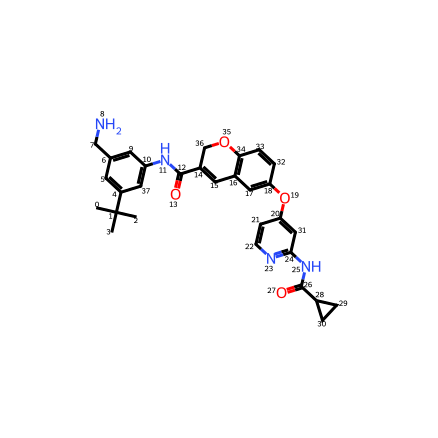 CC(C)(C)c1cc(CN)cc(NC(=O)C2=Cc3cc(Oc4ccnc(NC(=O)C5CC5)c4)ccc3OC2)c1